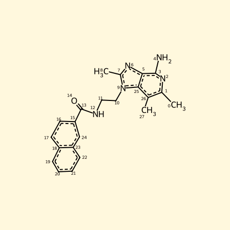 Cc1nc(N)c2nc(C)n(CCNC(=O)c3ccc4ccccc4c3)c2c1C